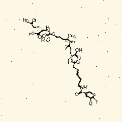 C[C@H](CCCOP(=O)(O)N[C@@H](CCC(=O)O)C(=O)O)NC(=O)CC[C@H](NC(=O)CCCCCNC(=O)c1cnc(F)c(Cl)c1)C(=O)O